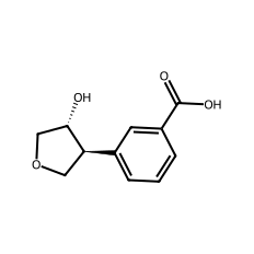 O=C(O)c1cccc([C@H]2COC[C@@H]2O)c1